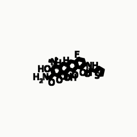 CN(C)[C@@H]1C(O)=C(C(N)=O)C(=O)[C@@]2(O)C(O)=C3C(=O)c4c(O)c(NC(=O)c5cccs5)cc(F)c4C[C@H]3C[C@@H]12